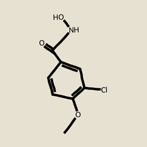 COc1ccc(C(=O)NO)cc1Cl